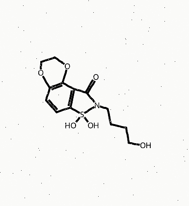 O=C1c2c(ccc3c2OCCO3)S(O)(O)N1CCCCO